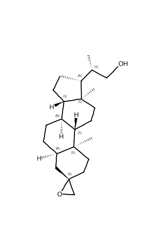 C[C@H](CO)[C@H]1CC[C@H]2[C@@H]3CC[C@@H]4C[C@@]5(CC[C@]4(C)[C@H]3CC[C@]12C)CO5